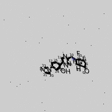 CO[C@@H]1C[C@]2(C)N[C@H]1C/C(=C\c1ncc(-c3ccc(-n4ccnc4)cc3O)nn1)[C@@H]2F